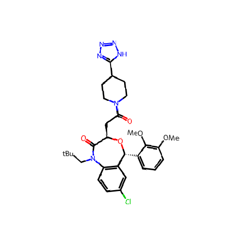 COc1cccc([C@H]2O[C@H](CC(=O)N3CCC(c4nnn[nH]4)CC3)C(=O)N(CC(C)(C)C)c3ccc(Cl)cc32)c1OC